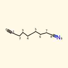 C#CCCCCCCC#N